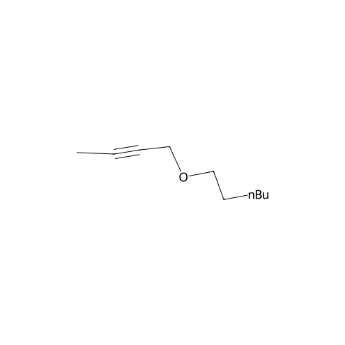 [CH2]CCCCCOCC#CC